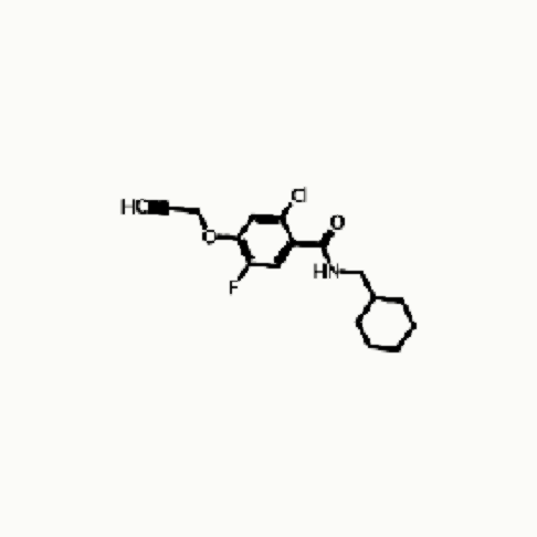 C#CCOc1cc(Cl)c(C(=O)NCC2CCCCC2)cc1F